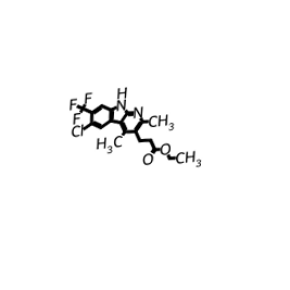 CCOC(=O)CCc1c(C)nc2[nH]c3cc(C(F)(F)F)c(Cl)cc3c2c1C